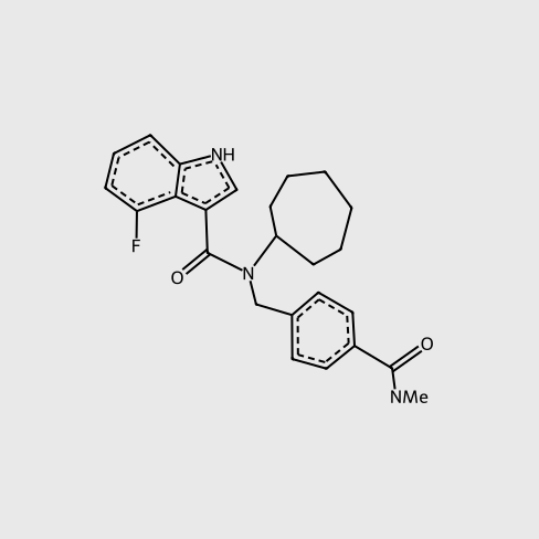 CNC(=O)c1ccc(CN(C(=O)c2c[nH]c3cccc(F)c23)C2CCCCCC2)cc1